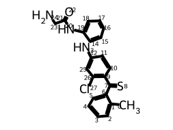 Cc1ccccc1C(=S)c1ccc(Nc2ccccc2NC(=O)CN)cc1Cl